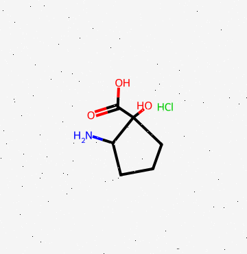 Cl.NC1CCCC1(O)C(=O)O